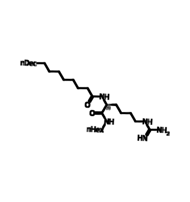 CCCCCCCCCCCCCCCCCC(=O)N[C@@H](CCCCNC(=N)N)C(=O)NCCCCCC